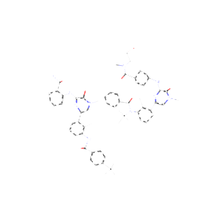 Cc1c(-c2cn(C)c(=O)c(Nc3ccc(C(=O)N(C)CCO)cc3)n2)cccc1N(C(=O)c1ccccc1)C(C)(C)C.Cc1c(NC(=O)c2ccc(C(C)(C)C)cc2)cccc1-c1cn(C)c(=O)c(Nc2ccccc2C(N)=O)n1